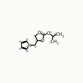 CC(C)OC1OCC(Cn2cccc2)O1